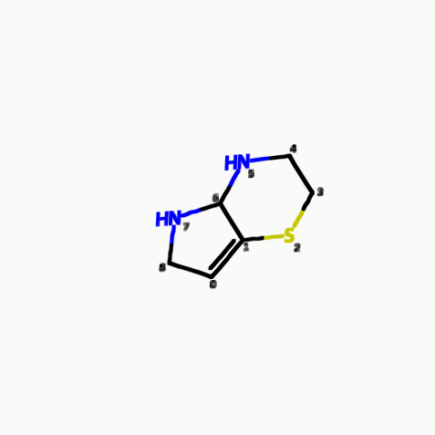 C1=C2SCCNC2NC1